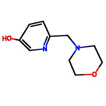 Oc1ccc(CN2CCOCC2)nc1